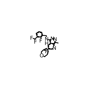 Cc1nnc(NCc2cccc(C(F)F)c2F)c2cc(N3C4CCC3COC4)cnc12